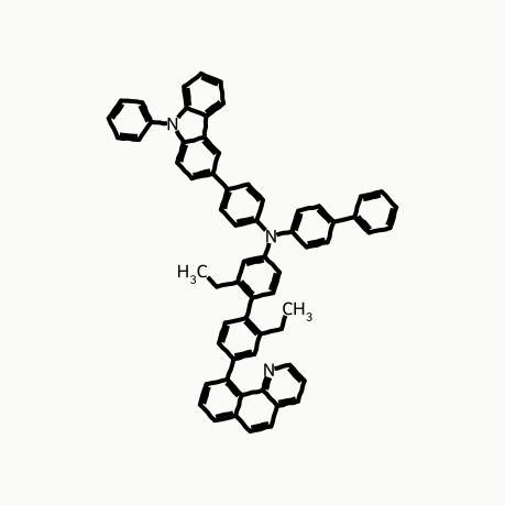 CCc1cc(-c2cccc3ccc4cccnc4c23)ccc1-c1ccc(N(c2ccc(-c3ccccc3)cc2)c2ccc(-c3ccc4c(c3)c3ccccc3n4-c3ccccc3)cc2)cc1CC